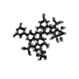 Cc1cc(C)nc(-c2cc(=O)n(-c3ccc(Cl)c4c(NS(C)(=O)=O)nn(CC(F)F)c34)c([C@H](Cc3cc(F)cc(F)c3)NC(=O)Cn3nc(C(F)F)c4c3C(F)(F)[C@@H]3C[C@H]43)n2)n1